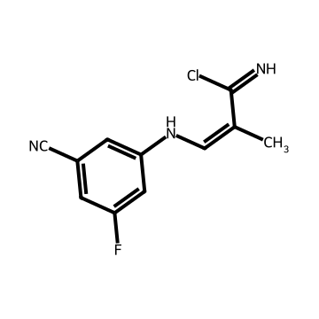 C/C(=C/Nc1cc(F)cc(C#N)c1)C(=N)Cl